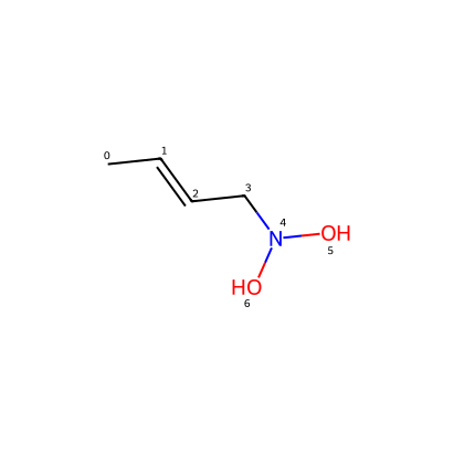 CC=CCN(O)O